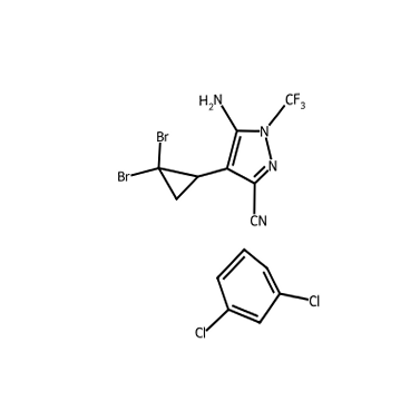 Clc1cccc(Cl)c1.N#Cc1nn(C(F)(F)F)c(N)c1C1CC1(Br)Br